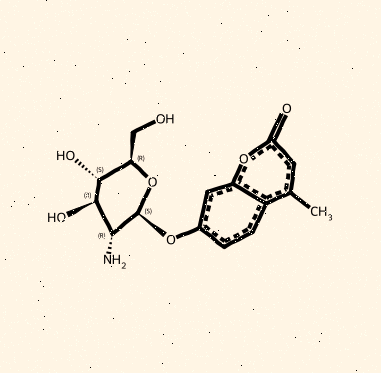 Cc1cc(=O)oc2cc(O[C@@H]3O[C@H](CO)[C@@H](O)[C@H](O)[C@H]3N)ccc12